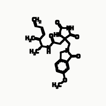 C=C/C=C\C(=C)[C@H](C)NC(=O)CC1(CN2Cc3ccc(OC)cc3C2=O)NC(=O)NC1=O